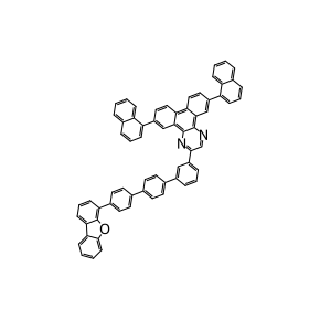 c1cc(-c2ccc(-c3ccc(-c4cccc5c4oc4ccccc45)cc3)cc2)cc(-c2cnc3c4cc(-c5cccc6ccccc56)ccc4c4ccc(-c5cccc6ccccc56)cc4c3n2)c1